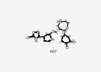 Cl.O=c1[nH]c(-c2ccnc(OC[C@@H]3CNCCO[C@H]3c3ccc(Cl)c(Cl)c3)c2)no1